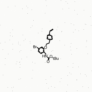 C=Cc1ccc(CCOc2cc(Br)ccc2CNC(=O)OC(C)(C)C)cc1